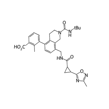 Cc1noc(C2CC2C(=O)NCc2ccc(-c3cccc(C(=O)O)c3C)c3c2CN(C(=O)NC(C)(C)C)CC3)n1